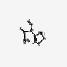 C=CC(C1=NCCN1)C(C)N